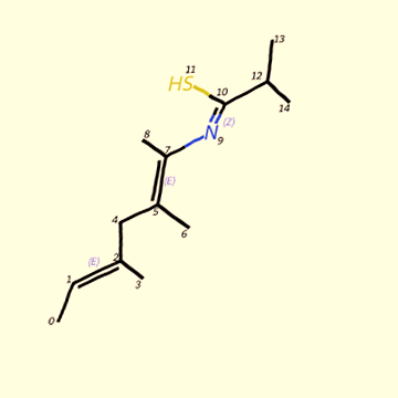 C/C=C(\C)C/C(C)=C(C)/N=C(\S)C(C)C